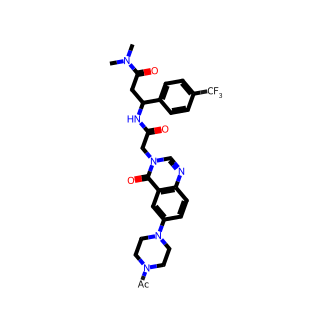 CC(=O)N1CCN(c2ccc3ncn(CC(=O)NC(CC(=O)N(C)C)c4ccc(C(F)(F)F)cc4)c(=O)c3c2)CC1